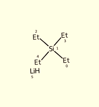 [CH2]C[Si](CC)(CC)CC.[LiH]